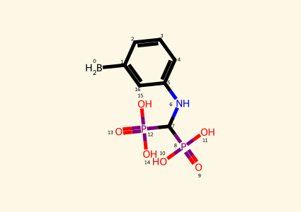 Bc1cccc(NC(P(=O)(O)O)P(=O)(O)O)c1